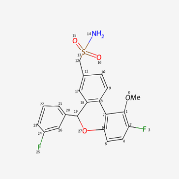 COc1c(F)ccc2c1-c1ccc(CS(N)(=O)=O)cc1C(c1cccc(F)c1)O2